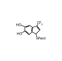 CCCCCC1C=C(C(F)(F)F)c2cc(O)c(O)cc21